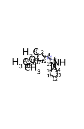 Cc1cc(/C=C2/CNN(c3ccccc3)C2)ccc1OCC(C)C